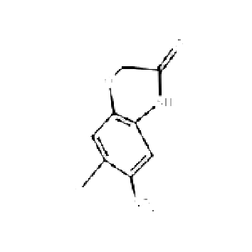 CC(C)c1cc2c(cc1[N+](=O)[O-])NC(=O)CO2